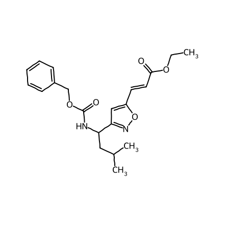 CCOC(=O)C=Cc1cc(C(CC(C)C)NC(=O)OCc2ccccc2)no1